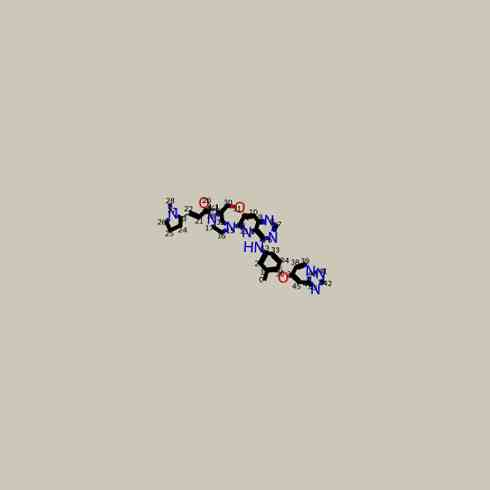 Cc1cc(Nc2ncnc3cc4c(nc23)N2CCN(C(=O)/C=C/[C@@H]3CCCN3C)[C@H](CO4)C2)ccc1Oc1ccn2ncnc2c1